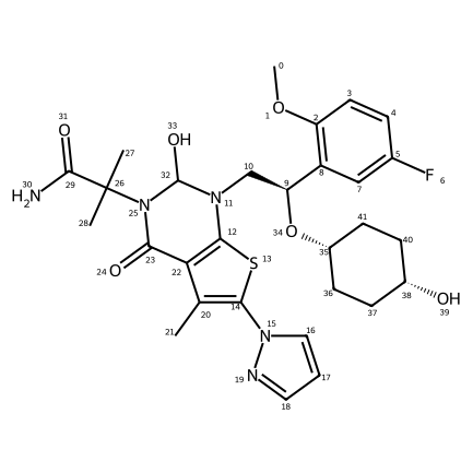 COc1ccc(F)cc1[C@H](CN1c2sc(-n3cccn3)c(C)c2C(=O)N(C(C)(C)C(N)=O)C1O)O[C@H]1CC[C@@H](O)CC1